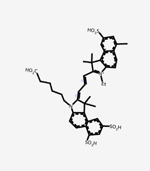 CC[N+]1=C(/C=C/C=C2/N(CCCCCC(=O)O)c3ccc4c(S(=O)(=O)O)cc(S(=O)(=O)O)cc4c3C2(C)C)C(C)(C)c2c1ccc1c(C)cc(S(=O)(=O)O)cc21